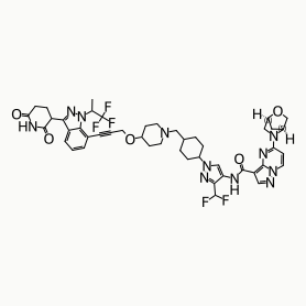 CC(n1nc(C2CCC(=O)NC2=O)c2cccc(C#CCOC3CCN(CC4CCC(n5cc(NC(=O)c6cnn7ccc(N8C[C@@H]9C[C@H]8CO9)nc67)c(C(F)F)n5)CC4)CC3)c21)C(F)(F)F